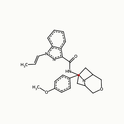 CC=Cn1nc(C(=O)NC2CC3COCC(C2)N3Cc2ccc(OC)cc2)c2ccccc21